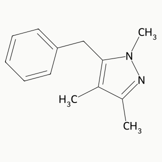 Cc1nn(C)c(Cc2ccccc2)c1C